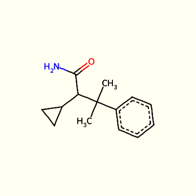 CC(C)(c1ccccc1)C(C(N)=O)C1CC1